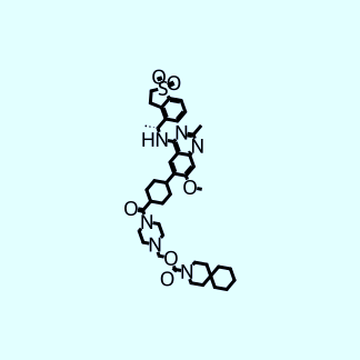 COc1cc2nc(C)nc(N[C@H](C)c3cccc4c3CCS4(=O)=O)c2cc1C1CCC(C(=O)N2CCN(COC(=O)N3CCC4(CCCCC4)CC3)CC2)CC1